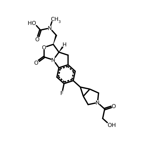 CN(C[C@@H]1OC(=O)N2c3cc(F)c(C4C5CN(C(=O)CO)CC54)cc3C[C@@H]12)C(=O)O